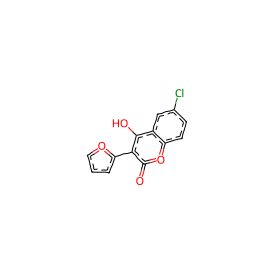 O=c1oc2ccc(Cl)cc2c(O)c1-c1ccco1